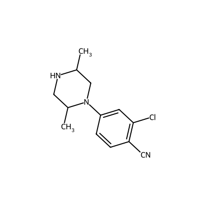 CC1CN(c2ccc(C#N)c(Cl)c2)C(C)CN1